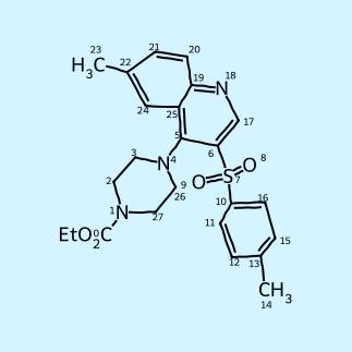 CCOC(=O)N1CCN(c2c(S(=O)(=O)c3ccc(C)cc3)cnc3ccc(C)cc23)CC1